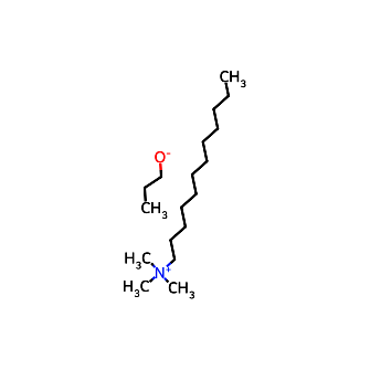 CCCCCCCCCCCC[N+](C)(C)C.CCC[O-]